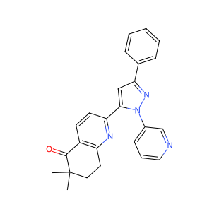 CC1(C)CCc2nc(-c3cc(-c4ccccc4)nn3-c3cccnc3)ccc2C1=O